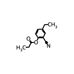 CCC(=O)Oc1ccc(CC)cc1C#N